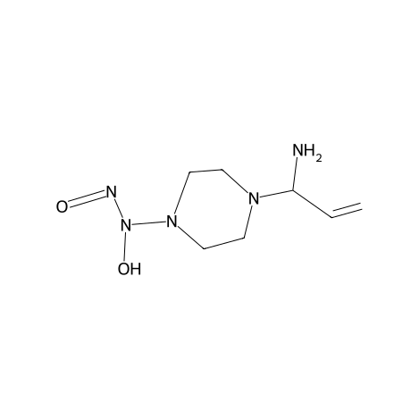 C=CC(N)N1CCN(N(O)N=O)CC1